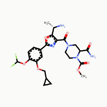 COC(=O)N1CCN(C(=O)c2nc(-c3ccc(OC(F)F)c(OCC4CC4)c3)oc2[C@H](C)N)CC1C(N)=O